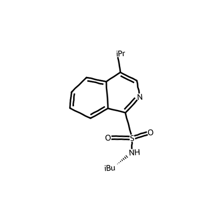 CC[C@@H](C)NS(=O)(=O)c1ncc(C(C)C)c2ccccc12